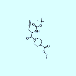 CCOC(=O)N1CCN(C(=O)C(CC#N)NC(=O)OC(C)(C)C)CC1